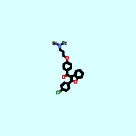 CCN(CC)CCCOc1ccc(C(=O)c2c(-c3ccc(Cl)cc3)oc3ccccc23)cc1